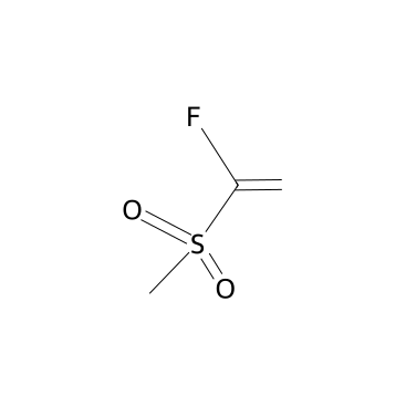 C=C(F)S(C)(=O)=O